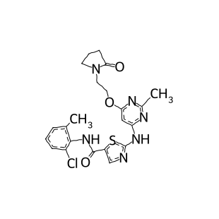 Cc1nc(Nc2ncc(C(=O)Nc3c(C)cccc3Cl)s2)cc(OCCN2CCCC2=O)n1